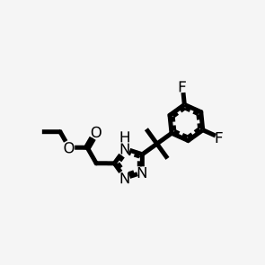 CCOC(=O)Cc1nnc(C(C)(C)c2cc(F)cc(F)c2)[nH]1